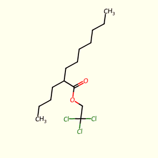 CCCCCCCC(CCCC)C(=O)OCC(Cl)(Cl)Cl